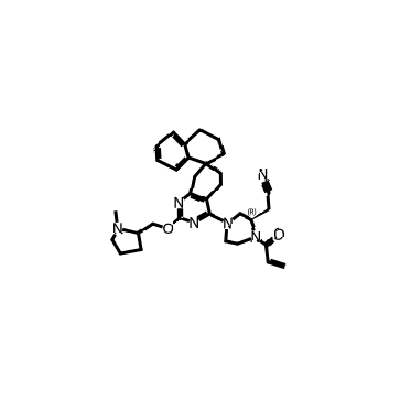 C=CC(=O)N1CCN(c2nc(OCC3CCCN3C)nc3c2CCC2(CCCc4ccccc42)C3)C[C@H]1CC#N